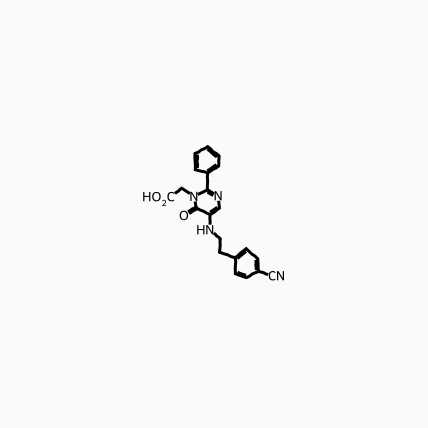 N#Cc1ccc(CCNc2cnc(-c3ccccc3)n(CC(=O)O)c2=O)cc1